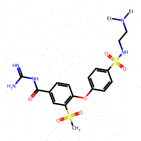 CCN(CC)CCNS(=O)(=O)c1ccc(Oc2ccc(C(=O)NC(=N)N)cc2S(C)(=O)=O)cc1